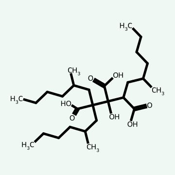 CCCCC(C)CC(C(=O)O)C(O)(C(=O)O)C(CC(C)CCCC)(CC(C)CCCC)C(=O)O